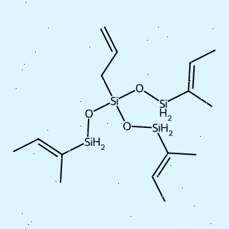 C=CC[Si](O[SiH2]C(C)=CC)(O[SiH2]C(C)=CC)O[SiH2]C(C)=CC